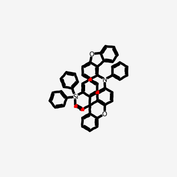 c1ccc(N(c2ccc3c(c2)C2(c4ccccc4O3)c3ccccc3[Si](c3ccccc3)(c3ccccc3)c3ccccc32)c2cccc3oc4ccccc4c23)cc1